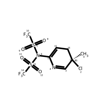 C[C@]1(Cl)C=NC(N(S(=O)(=O)C(F)(F)F)S(=O)(=O)C(F)(F)F)=CC1